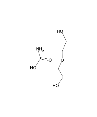 NC(=O)O.OCCOCCO